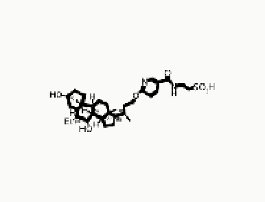 CC[C@H]1[C@@H](O)[C@@H]2[C@H](CC[C@]3(C)[C@@H]([C@H](C)CCOc4ccc(C(=O)NCCS(=O)(=O)O)cn4)CC[C@@H]23)[C@@]2(C)CC[C@@H](O)C[C@@H]12